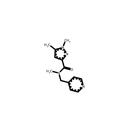 Cc1cc(C(=O)N(C)Cc2ccncc2)nn1C